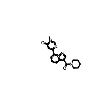 Cn1cnc(-c2cccc3c(C(=O)N4CCCCC4)cnn23)cc1=O